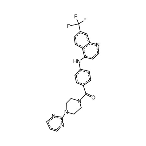 O=C(c1ccc(Nc2ccnc3cc(C(F)(F)F)ccc23)cc1)N1CCN(c2ncccn2)CC1